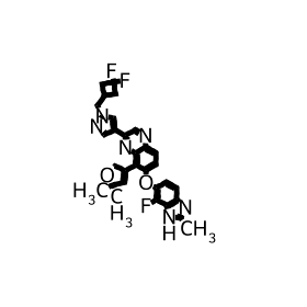 Cc1nc2ccc(Oc3ccc4ncc(-c5cnn(CC6CC(F)(F)C6)c5)nc4c3C3=CC(C)(C)OC3)c(F)c2[nH]1